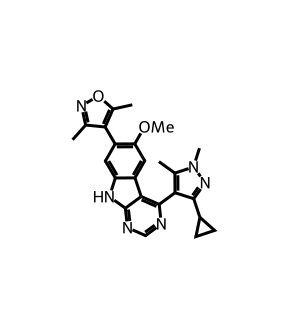 COc1cc2c(cc1-c1c(C)noc1C)[nH]c1ncnc(-c3c(C4CC4)nn(C)c3C)c12